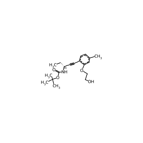 CC[C@H](C#Cc1ccc(C)cc1OCCO)NC(=O)OC(C)(C)C